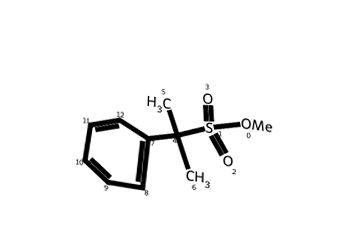 COS(=O)(=O)C(C)(C)c1ccccc1